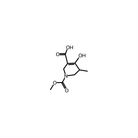 COC(=O)N1CC(C(=O)O)=C(O)C(C)C1